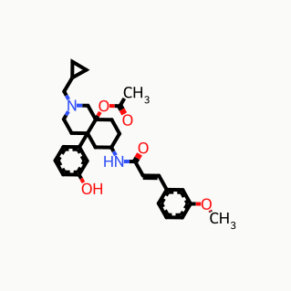 COc1cccc(/C=C/C(=O)NC2CCC3(OC(C)=O)CN(CC4CC4)CCC3(c3cccc(O)c3)C2)c1